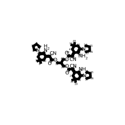 CC1(C)CC(N2CCCC2)=C(N)/C(=C(\C#N)C(=O)OCC(COC(=O)/C(C#N)=C2\CC(C)(C)CC(N3CCCC3)=C2N)COC(=O)/C(C#N)=C2\CC(C)(C)CC(N3CCCC3)=C2N)C1